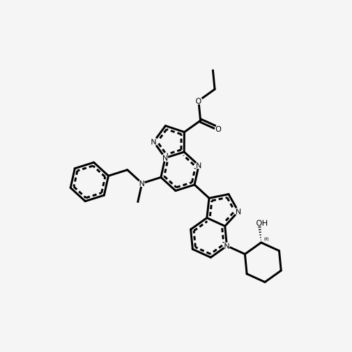 CCOC(=O)c1cnn2c(N(C)Cc3ccccc3)cc(-c3cnc4n(C5CCCC[C@H]5O)cccc3-4)nc12